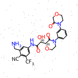 N#Cc1c(CN)cc(NC(=O)[C@H](O)[C@H]2OCCN(c3cccc(N4CCOCC4=O)c3)C2=O)cc1C(F)(F)F